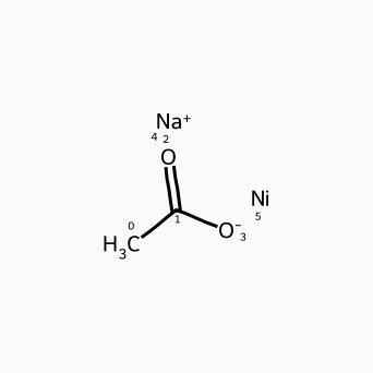 CC(=O)[O-].[Na+].[Ni]